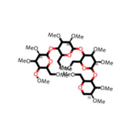 COCC1OC(OC2C(COC)OC(OC3C(COC)OC(OC4C(COC)OC[C@H](OC)C4OC)[C@H](OC)C3OC)[C@H](OC)C2OC)[C@H](OC)C(OC)C1OOC